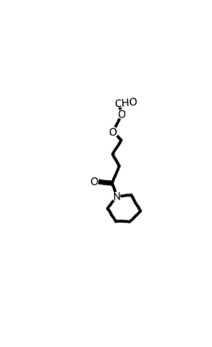 O=COOCCCC(=O)N1CCCCC1